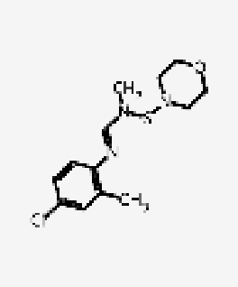 Cc1cc(Cl)ccc1N=CN(C)SN1CCOCC1